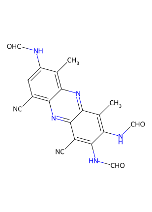 Cc1c(NC=O)cc(C#N)c2nc3c(C#N)c(NC=O)c(NC=O)c(C)c3nc12